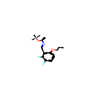 C=C(/N=C/c1c(OCCC)ccc(F)c1F)O[Si](C)(C)C